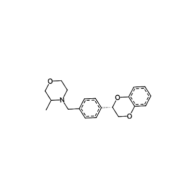 CC1COCCN1Cc1ccc([C@H]2COc3ccccc3O2)cc1